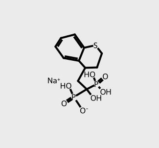 O=P([O-])(O)C(O)(CC1CCSc2ccccc21)P(=O)(O)O.[Na+]